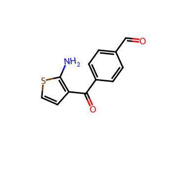 Nc1sccc1C(=O)c1ccc(C=O)cc1